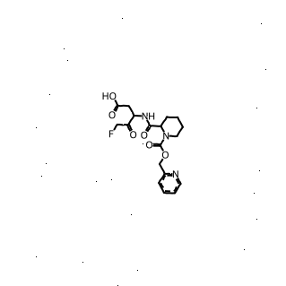 O=C(O)CC(NC(=O)C1CCCCN1C(=O)OCc1ccccn1)C(=O)CF